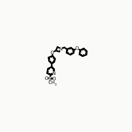 CS(=O)(=O)c1ccc(-c2ccc(OC3CN(Cc4cccc(Oc5ccccc5)c4)C3)cc2)cn1